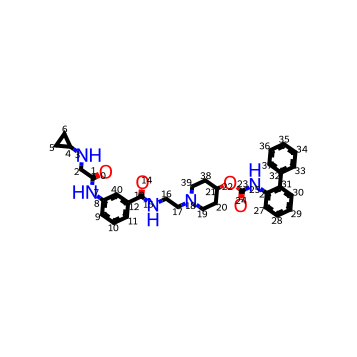 O=C(CNC1CC1)Nc1cccc(C(=O)NCCN2CCC(OC(=O)Nc3ccccc3-c3ccccc3)CC2)c1